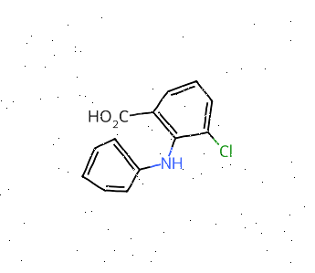 O=C(O)c1cccc(Cl)c1Nc1ccccc1